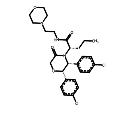 CCC[C@@H](C(=O)NCCN1CCOCC1)N1C(=O)CO[C@@H](c2ccc(Cl)cc2)[C@H]1c1ccc(Cl)cc1